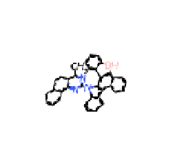 Cc1nc(-n2c3ccccc3c3c4ccccc4c4c(c32)-c2ccccc2B4)nc2c1ccc1ccccc12